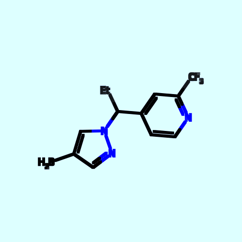 Bc1cnn(C(CC)c2ccnc(C(F)(F)F)c2)c1